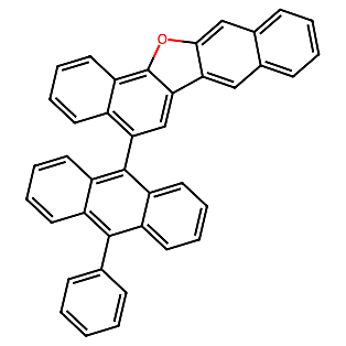 c1ccc(-c2c3ccccc3c(-c3cc4c5cc6ccccc6cc5oc4c4ccccc34)c3ccccc23)cc1